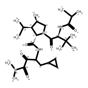 CC(C)C(=O)N[C@H](C(=O)N1C[C@H](C)[C@H](C(C)C)[C@H]1C(=O)NC(CC1CC1)C(=O)C(=O)N(C)C)C(C)(C)C